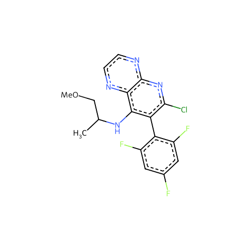 COCC(C)Nc1c(-c2c(F)cc(F)cc2F)c(Cl)nc2nccnc12